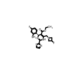 Bc1cc(F)ccc1[C@@H]1N=C(c2nccs2)NC(CN2CC(F)C2)=C1C(=O)OCC